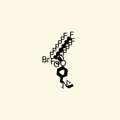 CC[N+](C)(C)Cc1ccc(OS(=O)(=O)C(F)(F)C(F)(F)C(F)(F)C(F)(F)C(F)(F)C(F)(F)F)cc1.[Br-]